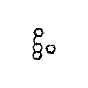 c1ccc(CN2Cc3ccccc3[C@@H](c3ccccc3)C2)cc1